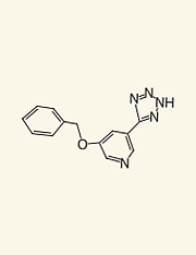 c1ccc(COc2cncc(-c3nn[nH]n3)c2)cc1